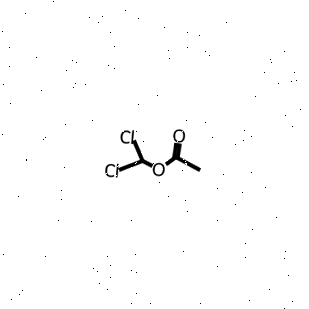 CC(=O)OC(Cl)Cl